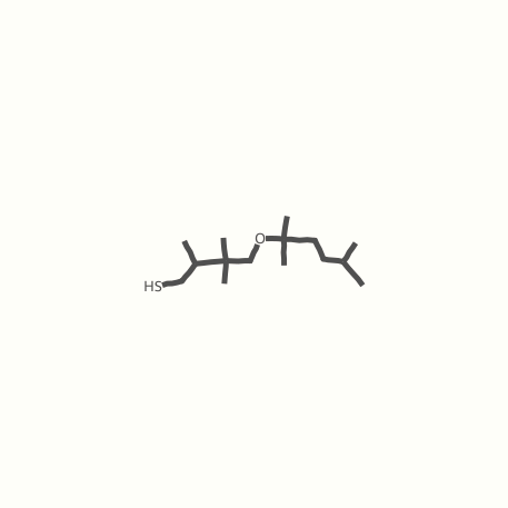 CC(C)CCC(C)(C)OCC(C)(C)C(C)CS